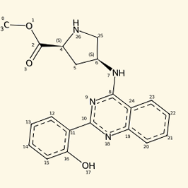 COC(=O)[C@@H]1C[C@H](Nc2nc(-c3ccccc3O)nc3ccccc23)CN1